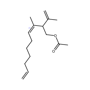 C=CCCCC/C=C(/C)C(COC(C)=O)C(=C)C